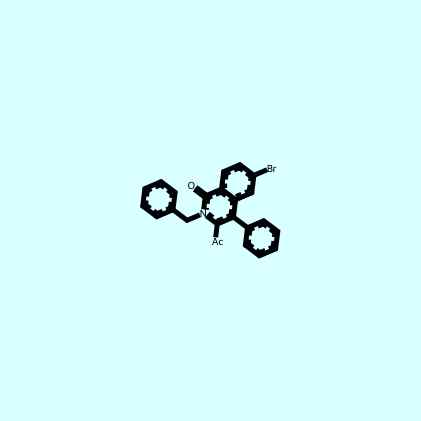 CC(=O)c1c(-c2ccccc2)c2cc(Br)ccc2c(=O)n1Cc1ccccc1